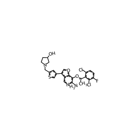 C[C@@H](Oc1c(N)ncc2c(-c3csc(CN4CCC(O)C4)c3)coc12)c1c(Cl)ccc(F)c1Cl